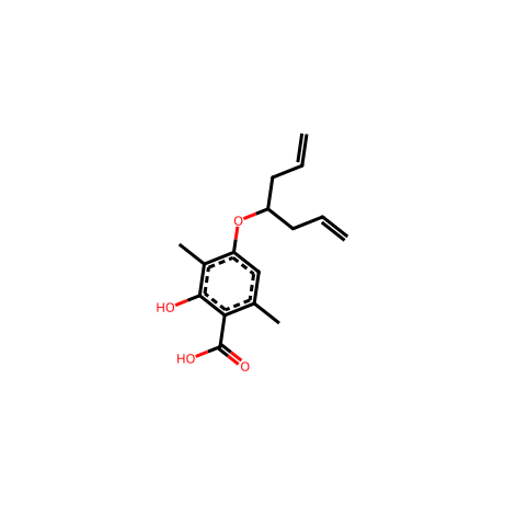 C=CCC(CC=C)Oc1cc(C)c(C(=O)O)c(O)c1C